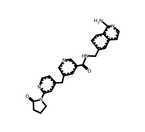 Nc1nccc2cc(CNC(=O)c3cncc(Cc4ccnc(N5CCCC5=O)c4)c3)ccc12